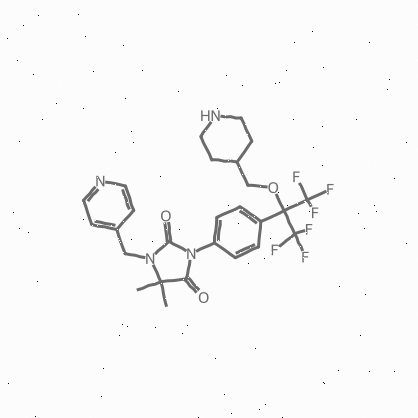 CC1(C)C(=O)N(c2ccc(C(OCC3CCNCC3)(C(F)(F)F)C(F)(F)F)cc2)C(=O)N1Cc1ccncc1